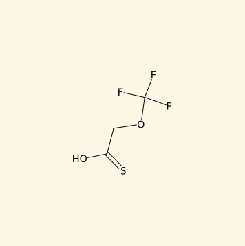 OC(=S)COC(F)(F)F